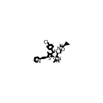 Cc1c(C#Cc2ccccn2)sc2c1C(c1ccc(Cl)cc1)=N[C@@H](Cc1nnc(C3CC3)o1)c1nnc(C)n1-2